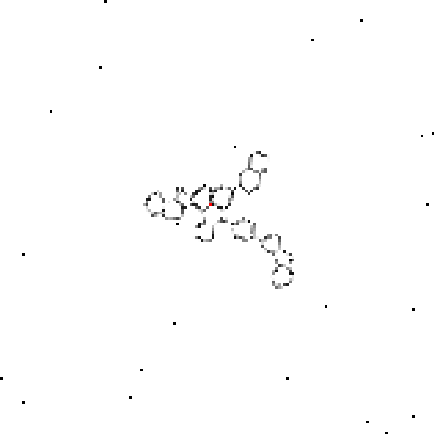 c1cc(-c2ccc3ccccc3c2)cc(N(c2ccc(-c3ccc4sc5ccccc5c4c3)cc2)c2ccccc2-c2cccc3oc4c5ccccc5ccc4c23)c1